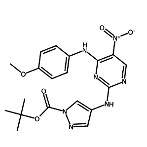 COc1ccc(Nc2nc(Nc3cnn(C(=O)OC(C)(C)C)c3)ncc2[N+](=O)[O-])cc1